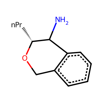 CCC[C@H]1OCc2ccccc2C1N